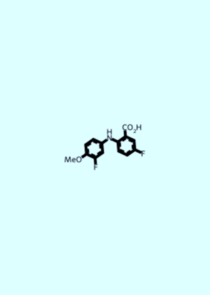 COc1ccc(Nc2ccc(F)cc2C(=O)O)cc1F